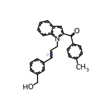 Cc1ccc(C(=O)c2cc3ccccc3n2C/C=C/c2cccc(CO)c2)cc1